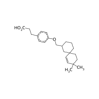 CC1(C)C=CC2(CCCC(COc3ccc(CCC(=O)O)cc3)C2)CC1